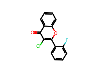 O=c1c(Cl)c(-c2ccccc2F)oc2ccccc12